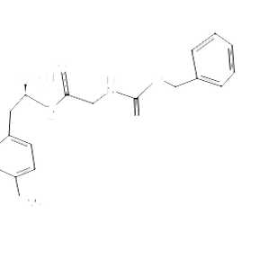 COc1ccc(C[C@H](NC(=O)CNC(=O)OCc2ccccc2)C(=O)O)cc1